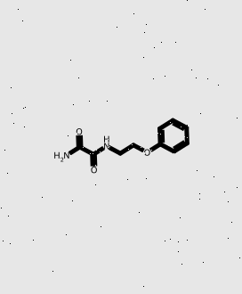 NC(=O)C(=O)NCCOc1ccccc1